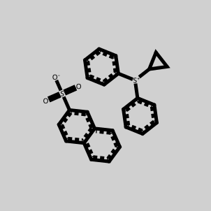 O=S(=O)([O-])c1ccc2ccccc2c1.c1ccc([S+](c2ccccc2)C2CC2)cc1